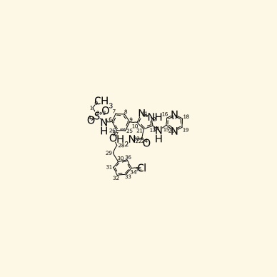 CCS(=O)(=O)Nc1ccc(-c2n[nH]c(Nc3cnccn3)c2C(N)=O)cc1OCCc1cccc(Cl)c1